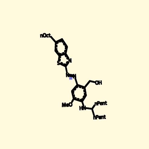 CCCCCCCCc1ccc2nc(/N=N/c3cc(OC)c(NC(CCCCC)CCCCC)cc3CO)sc2c1